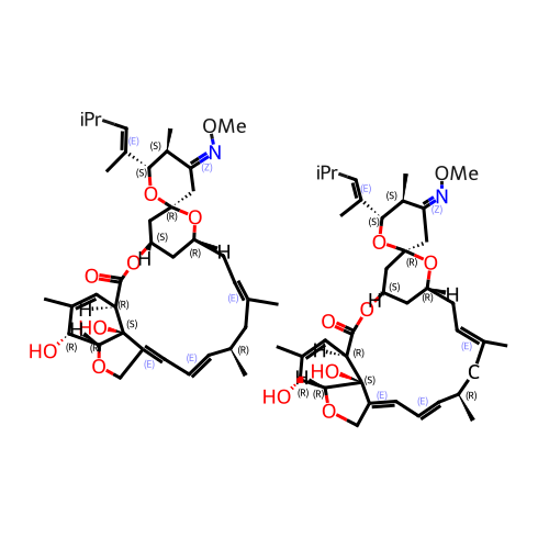 CO/N=C1/C[C@]2(C[C@@H]3C[C@@H](C/C=C(\C)C[C@@H](C)/C=C/C=C4\CO[C@@H]5[C@H](O)C(C)=C[C@@H](C(=O)O3)[C@]45O)O2)O[C@H](/C(C)=C/C(C)C)[C@H]1C.CO/N=C1/C[C@]2(C[C@@H]3C[C@@H](C/C=C(\C)C[C@@H](C)/C=C/C=C4\CO[C@@H]5[C@H](O)C(C)=C[C@@H](C(=O)O3)[C@]45O)O2)O[C@H](/C(C)=C/C(C)C)[C@H]1C